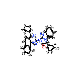 c1ccc(-c2nc(-n3c4oc5ccccc5c4n4c5ccccc5nc34)nc3c2ccc2ccccc23)cc1